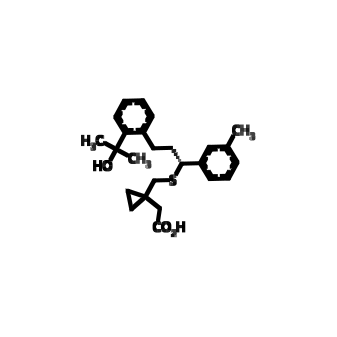 Cc1cccc([C@@H](CCc2ccccc2C(C)(C)O)SCC2(CC(=O)O)CC2)c1